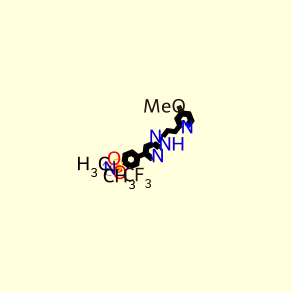 COc1ccnc(CCc2nc3cc(-c4ccc(S(=O)(=O)N(C)C)c(C(F)(F)F)c4)cnc3[nH]2)c1